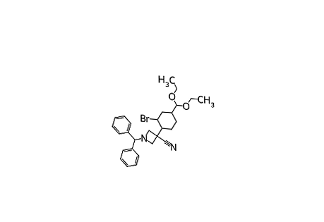 CCOC(OCC)C1CCC(C2(C#N)CN(C(c3ccccc3)c3ccccc3)C2)C(Br)C1